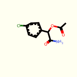 CC(=O)OC(C(N)=O)c1ccc(Cl)cc1